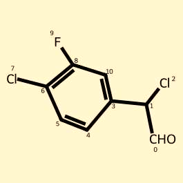 O=CC(Cl)c1ccc(Cl)c(F)c1